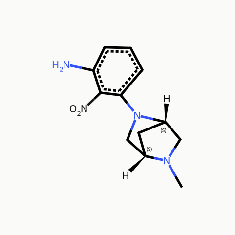 CN1C[C@@H]2C[C@H]1CN2c1cccc(N)c1[N+](=O)[O-]